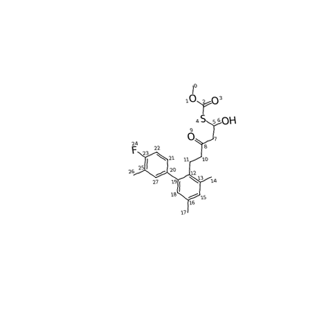 COC(=O)SC(O)CC(=O)CCc1c(C)cc(C)cc1-c1ccc(F)c(C)c1